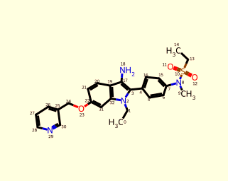 CCn1c(-c2ccc(N(C)S(=O)(=O)CC)cc2)c(N)c2ccc(OCc3cccnc3)cc21